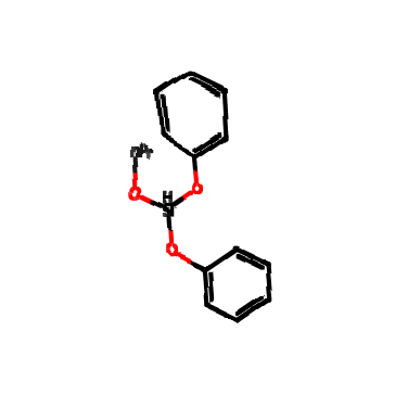 CCCO[SiH](Oc1ccccc1)Oc1ccccc1